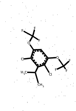 CC(C)c1c(Cl)c(OC(F)(F)F)cc(OC(F)(F)F)c1Cl